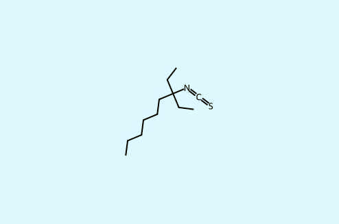 CCCCCCC(CC)(CC)N=C=S